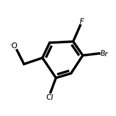 [O]Cc1cc(F)c(Br)cc1Cl